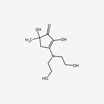 CC1(O)CC(N(CCO)CCO)=C(O)C1=O